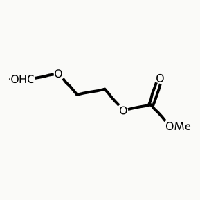 COC(=O)OCCO[C]=O